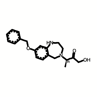 C[C@H](C(=O)CO)N1CCNc2cc(OCc3ccccc3)ccc2C1